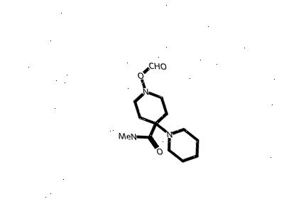 CNC(=O)C1(N2CCCCC2)CCN(OC=O)CC1